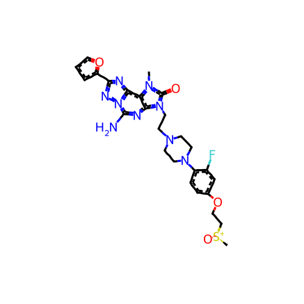 Cn1c(=O)n(CCN2CCN(c3ccc(OCC[S@@+](C)[O-])cc3F)CC2)c2nc(N)n3nc(-c4ccco4)nc3c21